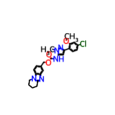 COc1cc(Cl)ccc1-c1cc(NC(=O)OCc2ccc3c(c2)nc2n3CCCC2)n(C)n1